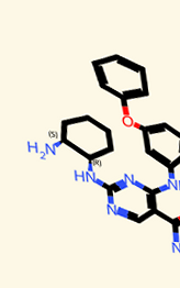 NC(=O)c1cnc(N[C@@H]2CCCC[C@@H]2N)nc1Nc1cccc(Oc2ccccc2)c1